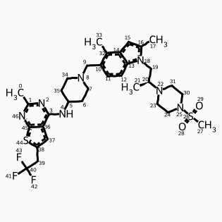 Cc1nc(NC2CCN(Cc3ccc4c(cc(C)n4C[C@H](C)N4CCN(S(C)(=O)=O)CC4)c3C)CC2)c2cc(CC(F)(F)F)sc2n1